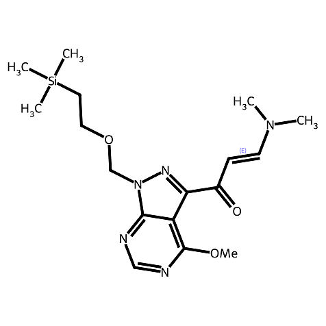 COc1ncnc2c1c(C(=O)/C=C/N(C)C)nn2COCC[Si](C)(C)C